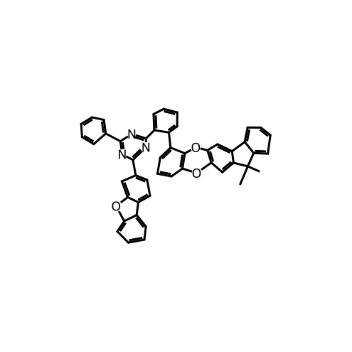 CC1(C)c2ccccc2-c2cc3c(cc21)Oc1cccc(-c2ccccc2-c2nc(-c4ccccc4)nc(-c4ccc5c(c4)oc4ccccc45)n2)c1O3